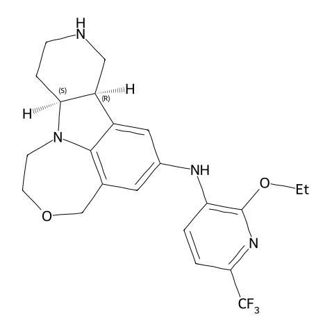 CCOc1nc(C(F)(F)F)ccc1Nc1cc2c3c(c1)[C@@H]1CNCC[C@@H]1N3CCOC2